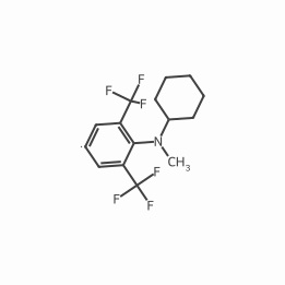 CN(c1c(C(F)(F)F)c[c]cc1C(F)(F)F)C1CCCCC1